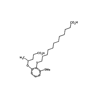 CSc1cccc(OC(C)CCC(=O)O)c1SCCCCCCCCCCCC(=O)O